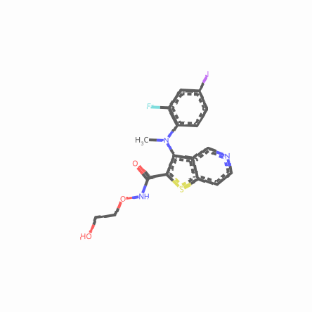 CN(c1ccc(I)cc1F)c1c(C(=O)NOCCO)sc2ccncc12